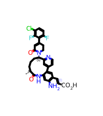 C[C@@H]1CCC[C@H](N2CCC(c3c(F)ccc(Cl)c3F)=CC2=O)c2cc(ccn2)-c2cc(/C=C/C(=O)O)c(N)cc2NC1=O